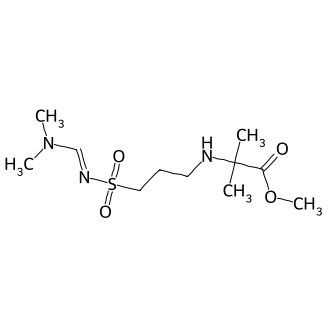 COC(=O)C(C)(C)NCCCS(=O)(=O)/N=C/N(C)C